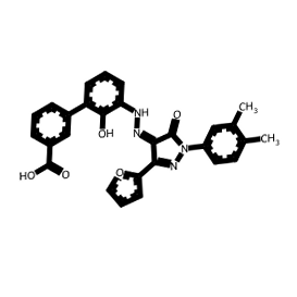 Cc1ccc(N2N=C(c3ccco3)C(=NNc3cccc(-c4cccc(C(=O)O)c4)c3O)C2=O)cc1C